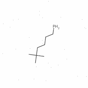 CC(C)(C)CCCCP